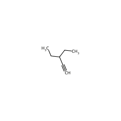 C#C[C](CC)CC